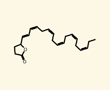 CC/C=C\C/C=C\C/C=C\C/C=C\C/C=C\C=C\C1CCC(=O)O1